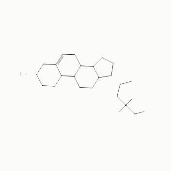 CC(CC(F)(F)CO)[C@H]1CCC2C3CC=C4C[C@@H](O)CC[C@]4(C)C3CC[C@@]21C